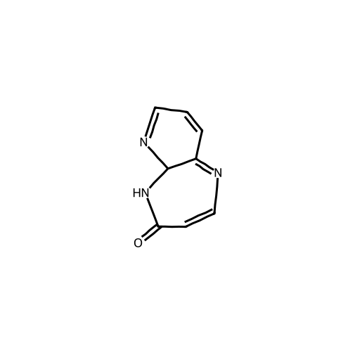 O=C1C=CN=C2C=CC=NC2N1